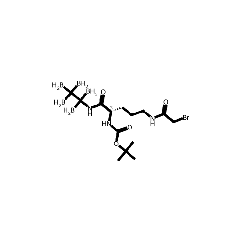 BC(B)(B)C(B)(B)NC(=O)[C@H](CCCNC(=O)CBr)NC(=O)OC(C)(C)C